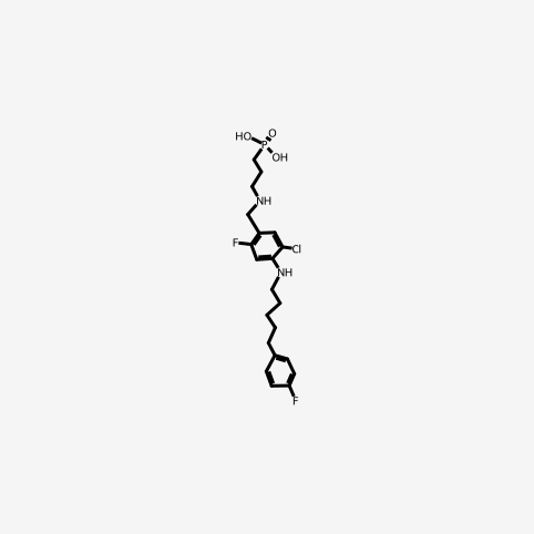 O=P(O)(O)CCCNCc1cc(Cl)c(NCCCCCc2ccc(F)cc2)cc1F